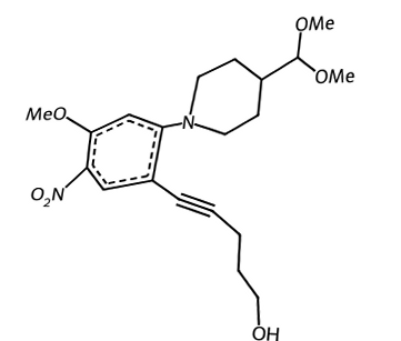 COc1cc(N2CCC(C(OC)OC)CC2)c(C#CCCCO)cc1[N+](=O)[O-]